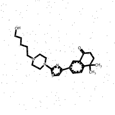 CC1(C)CCC(=O)c2cc(-c3csc(N4CCN(CCCCCO)CC4)n3)ccc21